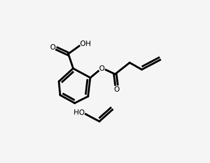 C=CCC(=O)Oc1ccccc1C(=O)O.C=CO